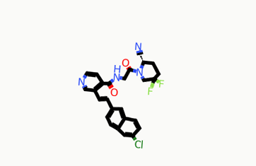 N#C[C@@H]1CCC(F)(F)CN1C(=O)CNC(=O)c1ccncc1/C=C/c1ccc2cc(Cl)ccc2c1